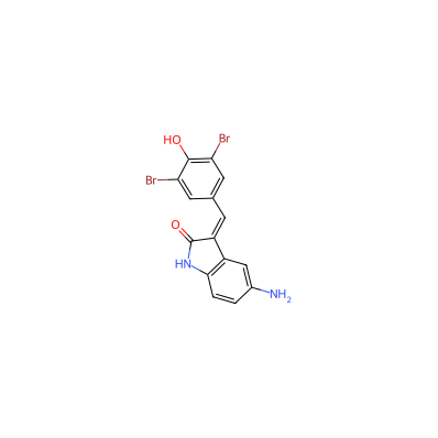 Nc1ccc2c(c1)C(=Cc1cc(Br)c(O)c(Br)c1)C(=O)N2